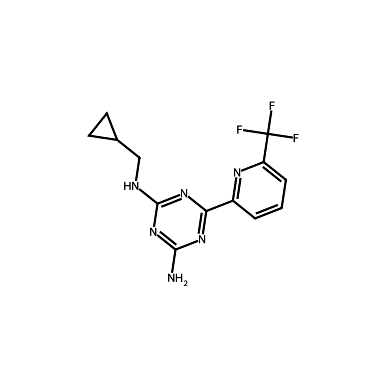 Nc1nc(NCC2CC2)nc(-c2cccc(C(F)(F)F)n2)n1